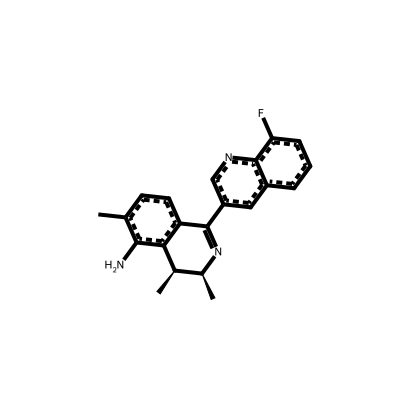 Cc1ccc2c(c1N)[C@H](C)[C@H](C)N=C2c1cnc2c(F)cccc2c1